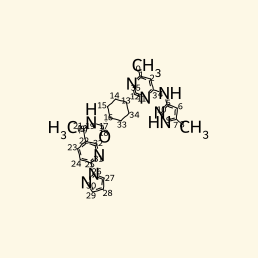 Cc1cc(Nc2cc(C)[nH]n2)nc([C@H]2CC[C@@H](C(=O)N[C@@H](C)c3ccc(-n4cccn4)nc3)CC2)n1